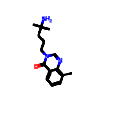 Cc1cccc2c(=O)n(CCCC(C)(C)N)cnc12